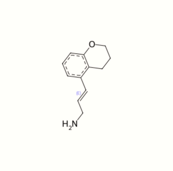 NC/C=C/c1cccc2c1CCCO2